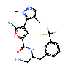 Cc1cnn(C)c1-c1cc(C(=O)N[C@H](CN)Cc2cccc(C(F)(F)F)c2)oc1Cl